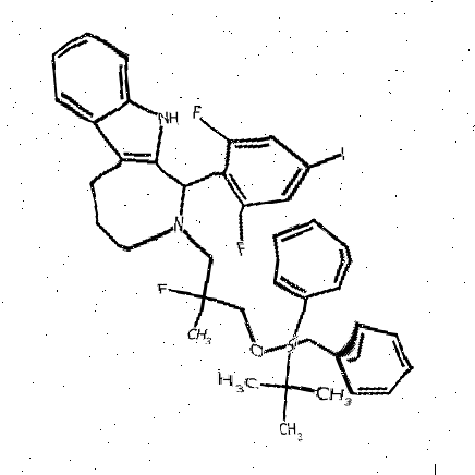 CC(F)(CO[Si](c1ccccc1)(c1ccccc1)C(C)(C)C)CN1CCCc2c([nH]c3ccccc23)C1c1c(F)cc(I)cc1F